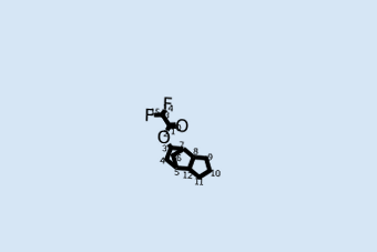 O=C(OC1CC2CC1C1CCCC21)C(F)F